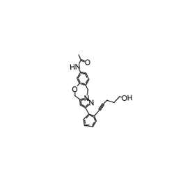 CC(=O)Nc1ccc2c(c1)OCc1cc(-c3ccccc3C#CCCCO)nn1C2